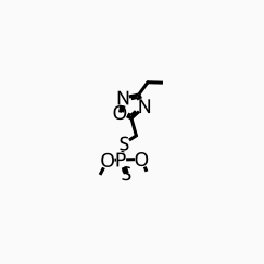 CCc1noc(CSP(=S)(OC)OC)n1